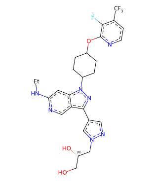 CCNc1cc2c(cn1)c(-c1cnn(C[C@@H](O)CO)c1)nn2C1CCC(Oc2nccc(C(F)(F)F)c2F)CC1